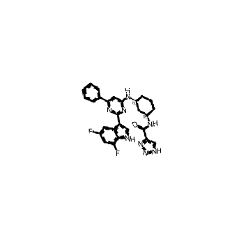 O=C(N[C@@H]1CCC[C@H](Nc2cc(-c3ccccc3)nc(-c3c[nH]c4c(F)cc(F)cc34)n2)C1)c1c[nH]nn1